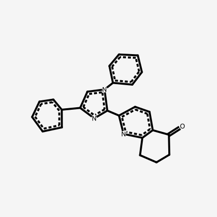 O=C1CCCc2nc(-c3nc(-c4ccccc4)cn3-c3ccccc3)ccc21